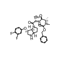 C[C@@H](C(=O)N[C@H](C(=O)N1CC[C@H]2NC[C@H](Oc3ccc(F)c(F)c3)[C@H]21)C(C)(C)C)N(C)C(=O)OCc1ccccc1